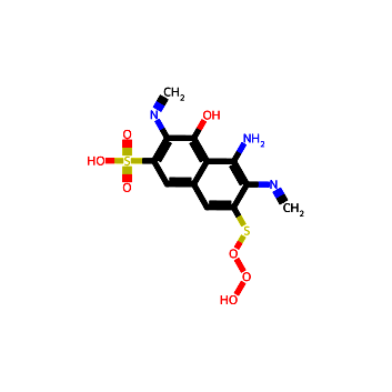 C=Nc1c(SOOO)cc2cc(S(=O)(=O)O)c(N=C)c(O)c2c1N